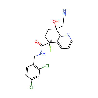 N#CCC1(O)CC[C@@](F)(C(=O)NCc2ccc(Cl)cc2Cl)c2cccnc21